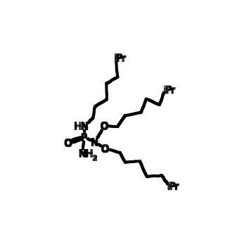 CC(C)CCCCCNP(N)(=O)N(OCCCCCC(C)C)OCCCCCC(C)C